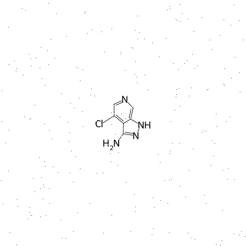 Nc1n[nH]c2cncc(Cl)c12